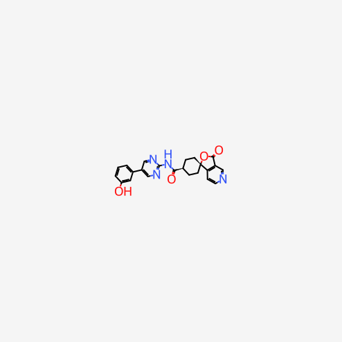 O=C1O[C@]2(CC[C@H](C(=O)Nc3ncc(-c4cccc(O)c4)cn3)CC2)c2ccncc21